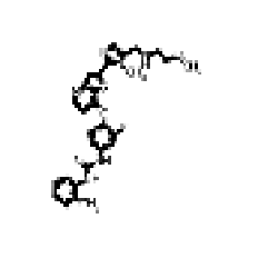 COCCNCc1cnc(-c2cc3nccc(Oc4ccc(NC(=O)Nc5ccccc5C)cc4F)c3s2)n1C